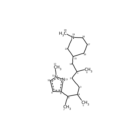 CC(CCC(C)C(C)c1ccn(C)n1)CC1CCCN(C)C1